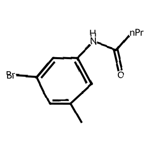 CCCC(=O)Nc1cc(C)cc(Br)c1